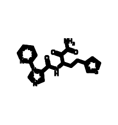 NC(=O)C(=O)C(CCc1ccsc1)NC(=O)c1cncn1-c1ccccn1